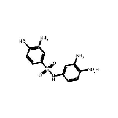 Nc1cc(S(=O)(=O)Nc2ccc(S(=O)(=O)O)c(N)c2)ccc1O